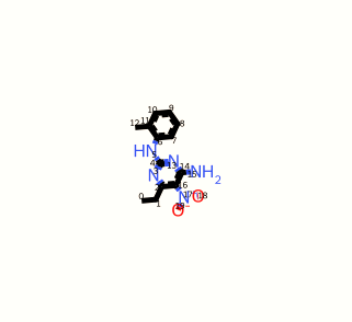 CCc1nc(Nc2ccccc2C)nc(N)c1[N+](=O)[O-]